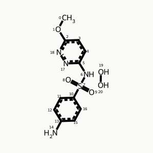 COc1ccc(NS(=O)(=O)c2ccc(N)cc2)nn1.OO